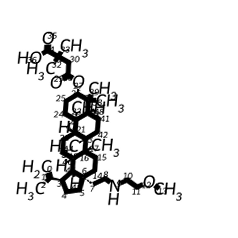 C=C(C)[C@@H]1CC[C@]2(CCNCCOC)CC[C@]3(C)[C@H](CC[C@@H]4[C@@]5(C)CC[C@H](OC(=O)CC(C)(C)C(=O)O)C(C)(C)[C@@H]5CC[C@]43C)[C@@H]12